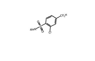 CNS(=O)(=O)c1ccc(C(=O)O)cc1Cl